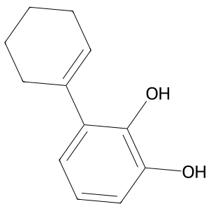 Oc1cccc(C2=CCCCC2)c1O